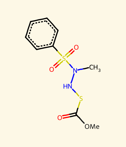 COC(=O)SNN(C)S(=O)(=O)c1ccccc1